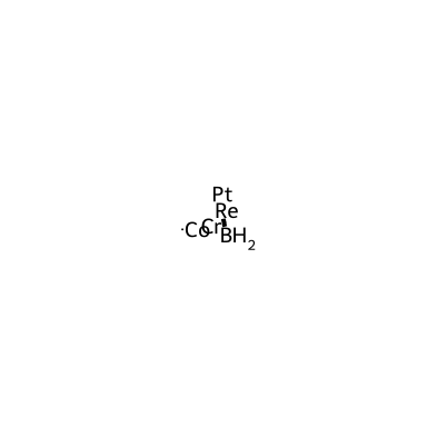 [BH2][Re].[Co].[Cr].[Pt]